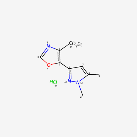 CCOC(=O)c1ncoc1-c1cc(C)n(C)n1.Cl